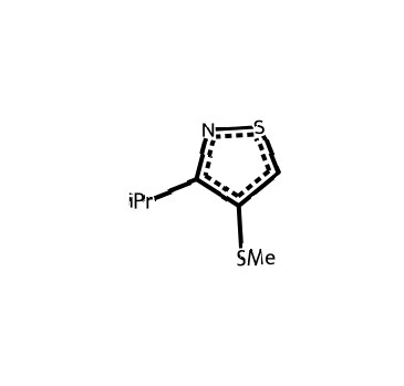 CSc1csnc1C(C)C